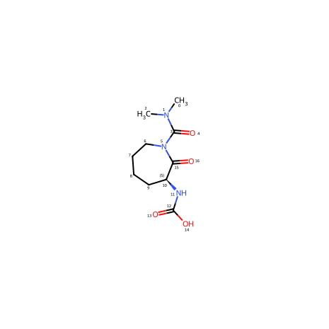 CN(C)C(=O)N1CCCC[C@H](NC(=O)O)C1=O